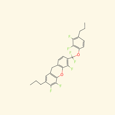 CCCc1ccc(OC(F)(F)c2ccc3c(c2F)Oc2c(cc(CCC)c(F)c2F)C3)c(F)c1F